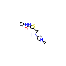 O=C(NC1CCCC1)c1csc(C2CC2NC2CCN(C3CC3)CC2)c1